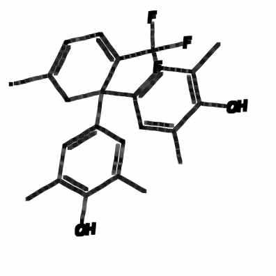 [CH2]C1=CC=C(C(F)(F)F)C(c2cc(C)c(O)c(C)c2)(c2cc(C)c(O)c(C)c2)C1